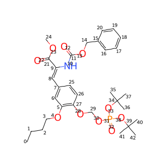 CCCCOc1cc(C=C(NC(=O)OCc2ccccc2)C(=O)OC)ccc1OCOP(=O)(OC(C)(C)C)OC(C)(C)C